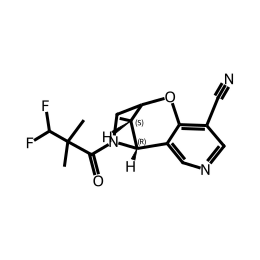 C[C@@H]1C2CN(C(=O)C(C)(C)C(F)F)[C@H]1c1cncc(C#N)c1O2